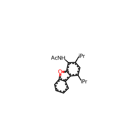 CC(=O)Nc1c(C(C)C)cc(C(C)C)c2c1oc1ccccc12